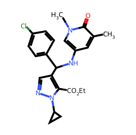 CCOC(=O)c1c(C(Nc2cc(C)c(=O)n(C)c2)c2ccc(Cl)cc2)cnn1C1CC1